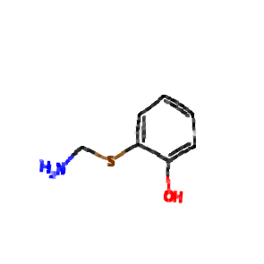 NCSc1ccccc1O